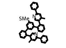 CSc1cc(-c2ccccc2-c2cnc(-c3ccccc3)cc2C)cc(-c2ccccc2-c2cnc(-c3ccccc3)cc2C)c1